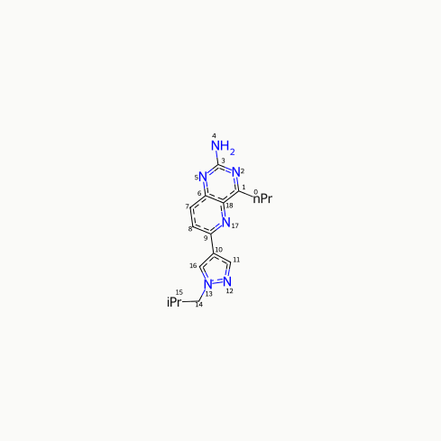 CCCc1nc(N)nc2ccc(-c3cnn(CC(C)C)c3)nc12